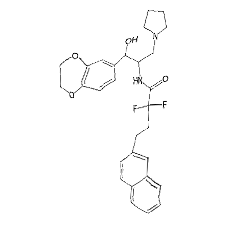 O=C(NC(CN1CCCC1)C(O)c1ccc2c(c1)OCCO2)C(F)(F)CCc1ccc2ccccc2c1